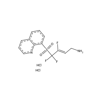 Cl.Cl.NC/C=C(\F)C(F)(F)S(=O)(=O)c1cccc2cccnc12